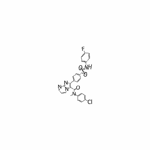 CN(C(=O)c1c(-c2ccc(S(=O)(=O)Nc3ccc(F)cc3)cc2)nc2ncccn12)c1ccc(Cl)cc1